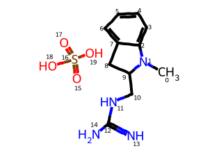 CN1c2ccccc2CC1CNC(=N)N.O=S(=O)(O)O